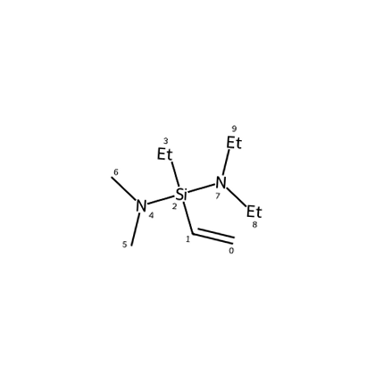 C=C[Si](CC)(N(C)C)N(CC)CC